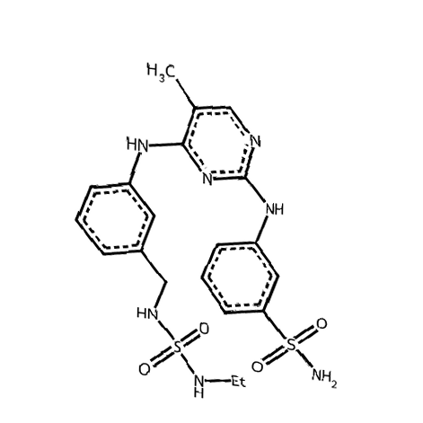 CCNS(=O)(=O)NCc1cccc(Nc2nc(Nc3cccc(S(N)(=O)=O)c3)ncc2C)c1